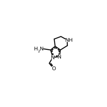 Nc1c2c(nn1C=O)CNCC2